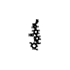 C[C@@H]1CC[C@H](C)C[C@@H](N(C)c2ccc(-c3ccc(-n4cnc(C#N)c4)cc3O)nn2)C1